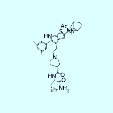 CC(=O)C(C)(c1cc2c(CCN3CCC(C(=O)NC(CC(C)C)C(N)=O)CC3)c(-c3cc(C)cc(C)c3)[nH]c2s1)C1C2CCC1NC2